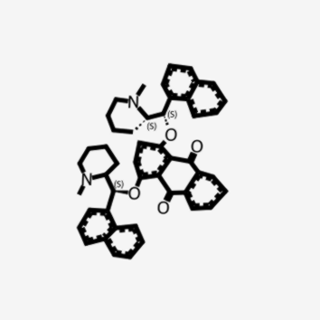 CN1CCCCC1[C@@H](Oc1ccc(O[C@@H](c2cccc3ccccc23)[C@@H]2CCCCN2C)c2c1C(=O)c1ccccc1C2=O)c1cccc2ccccc12